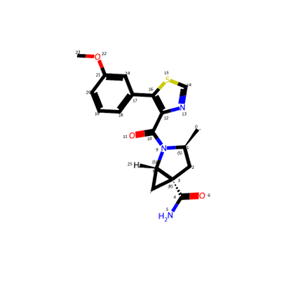 [CH2][C@H]1C[C@@]2(C(N)=O)C[C@@H]2N1C(=O)c1ncsc1-c1cccc(OC)c1